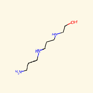 NCCCNCCCNCCO